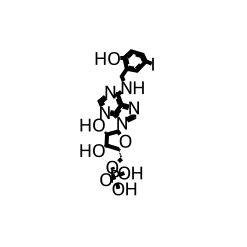 O=P(O)(O)OC[C@H]1O[C@@H](n2cnc3c(NCc4cc(I)ccc4O)ncnc32)[C@H](O)[C@@H]1O